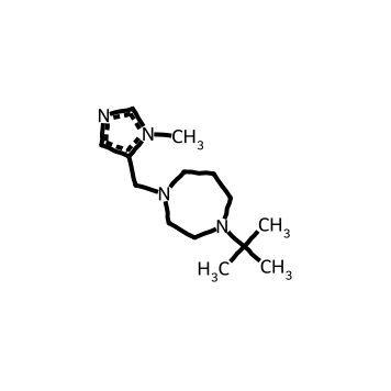 Cn1cncc1CN1CCCN(C(C)(C)C)CC1